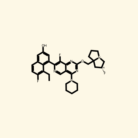 CCc1c(F)ccc2cc(O)cc(-c3ncc4c(N5CCCCC5)nc(OCC56CCCN5C[C@H](F)C6)nc4c3F)c12